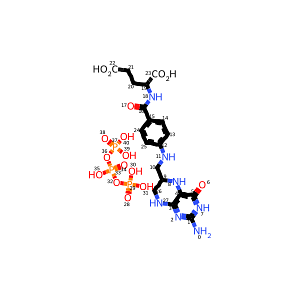 Nc1nc2c(c(=O)[nH]1)NC(CNc1ccc(C(=O)NC(CCC(=O)O)C(=O)O)cc1)CN2.O=P(O)(O)OP(=O)(O)OP(=O)(O)O